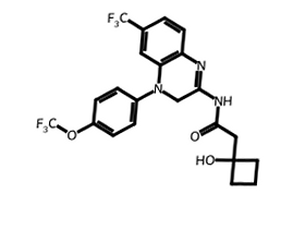 O=C(CC1(O)CCC1)NC1=Nc2ccc(C(F)(F)F)cc2N(c2ccc(OC(F)(F)F)cc2)C1